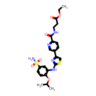 CCOC(=O)CCNC(=O)c1ccc(-c2csc(Nc3cc(S(N)(=O)=O)ccc3OC(C)C)n2)cn1